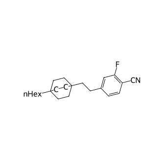 CCCCCCC12CCC(CCc3ccc(C#N)c(F)c3)(CC1)CC2